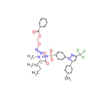 CC[C@@H](C)[C@@H](C(=O)NS(=O)(=O)c1ccc(-n2nc(C(F)(F)F)cc2-c2ccc(C)cc2)cc1)N(C)/[N+]([O-])=N/OCOC(=O)c1ccccc1